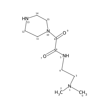 CN(C)CCNC(=O)C(=O)N1CCNCC1